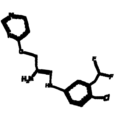 N/C(=C\Nc1ccc(Cl)c(C(F)F)c1)COc1ccncn1